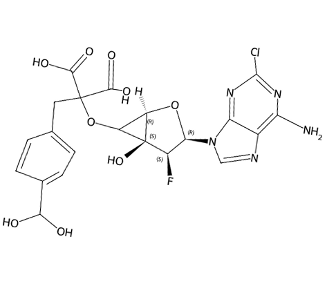 Nc1nc(Cl)nc2c1ncn2[C@@H]1O[C@@H]2C(OC(Cc3ccc(C(O)O)cc3)(C(=O)O)C(=O)O)[C@@]2(O)[C@@H]1F